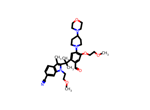 COCCOc1cc(C=O)c(C(C)(C)c2c(C)c3ccc(C#N)cc3n2CCOC)cc1N1CCC(N2CCOCC2)CC1